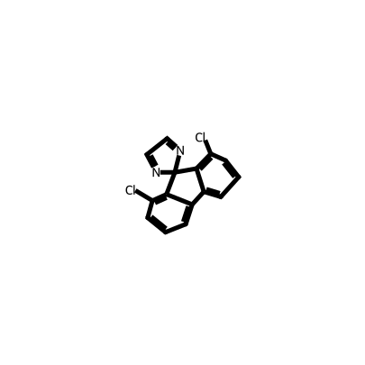 Clc1cccc2c1C1(N=CC=N1)c1c(Cl)cccc1-2